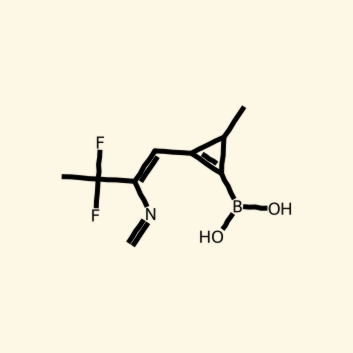 C=N/C(=C\C1=C(B(O)O)C1C)C(C)(F)F